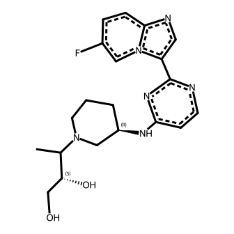 CC([C@H](O)CO)N1CCC[C@@H](Nc2ccnc(-c3cnc4ccc(F)cn34)n2)C1